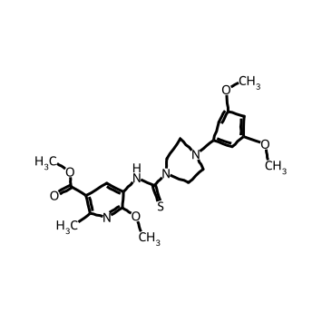 COC(=O)c1cc(NC(=S)N2CCN(c3cc(OC)cc(OC)c3)CC2)c(OC)nc1C